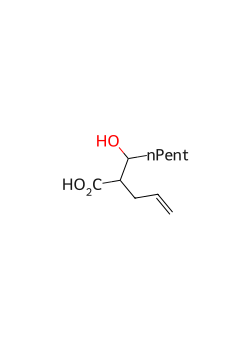 C=CCC(C(=O)O)C(O)CCCCC